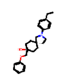 CCc1ccc(N2CC[C@]3(CC[C@@](O)(COc4ccccc4)CC3)C2)cc1